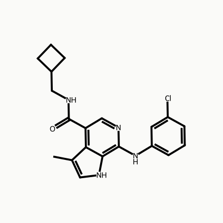 Cc1c[nH]c2c(Nc3cccc(Cl)c3)ncc(C(=O)NCC3CCC3)c12